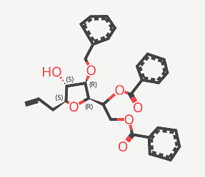 C=CC[C@@H]1O[C@H](C(COC(=O)c2ccccc2)OC(=O)c2ccccc2)[C@H](OCc2ccccc2)[C@H]1O